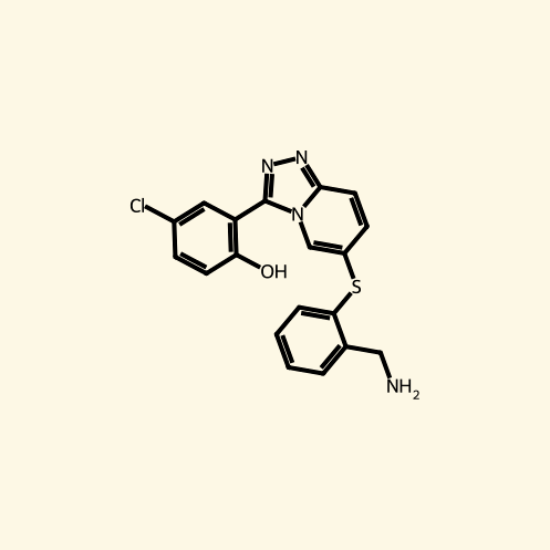 NCc1ccccc1Sc1ccc2nnc(-c3cc(Cl)ccc3O)n2c1